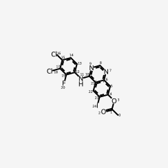 CC(=O)Oc1cc2ncnc(Nc3ccc(Cl)c(Cl)c3F)c2cc1I